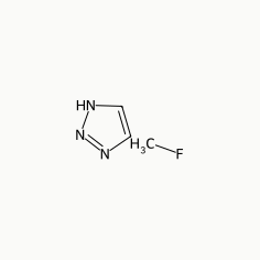 CF.c1c[nH]nn1